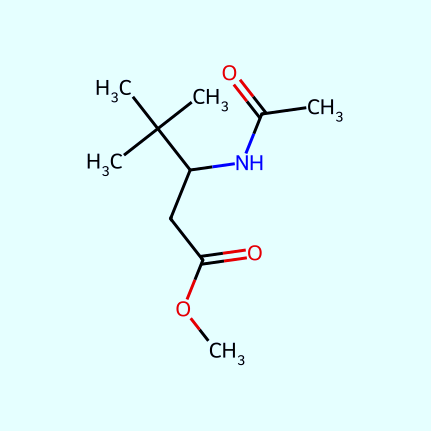 COC(=O)CC(NC(C)=O)C(C)(C)C